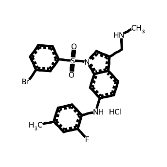 CNCc1cn(S(=O)(=O)c2cccc(Br)c2)c2cc(Nc3ccc(C)cc3F)ccc12.Cl